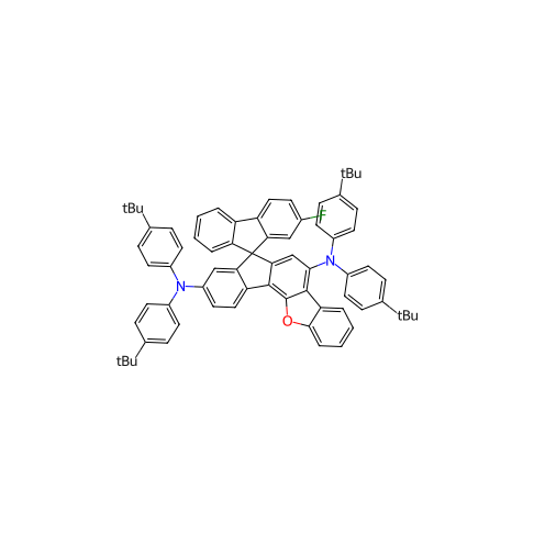 CC(C)(C)c1ccc(N(c2ccc(C(C)(C)C)cc2)c2ccc3c(c2)C2(c4ccccc4-c4ccc(F)cc42)c2cc(N(c4ccc(C(C)(C)C)cc4)c4ccc(C(C)(C)C)cc4)c4c(oc5ccccc54)c2-3)cc1